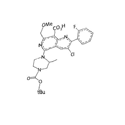 COCc1nc(N2CCN(C(=O)OC(C)(C)C)CC2C)c2cc(Cl)c(-c3ccccc3F)nc2c1C(=O)O